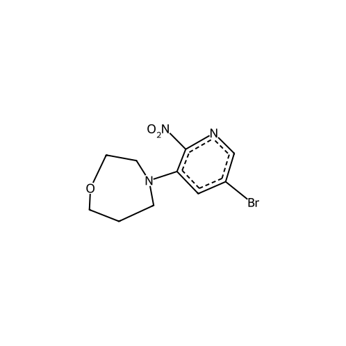 O=[N+]([O-])c1ncc(Br)cc1N1CCCOCC1